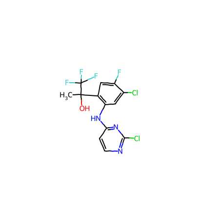 CC(O)(c1cc(F)c(Cl)cc1Nc1ccnc(Cl)n1)C(F)(F)F